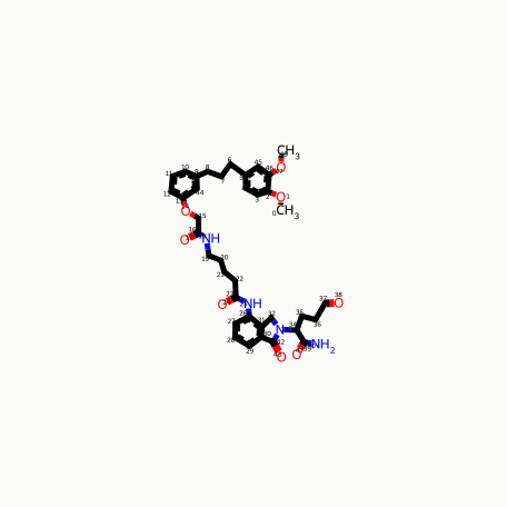 COc1ccc(CCCc2cccc(OCC(=O)NCCCCC(=O)Nc3cccc4c3CN(C(CCC=O)C(N)=O)C4=O)c2)cc1OC